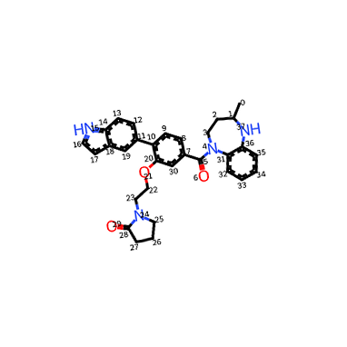 CC1CCN(C(=O)c2ccc(-c3ccc4[nH]ccc4c3)c(OCCN3CCCC3=O)c2)c2ccccc2N1